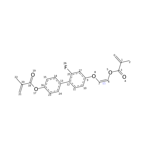 C=C(C)C(=O)O/C=C\Oc1ccc(-c2ccc(OC(=O)C(=C)C)cc2)c(F)c1